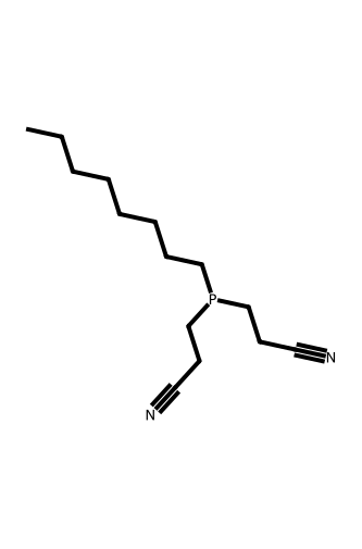 CCCCCCCCP(CCC#N)CCC#N